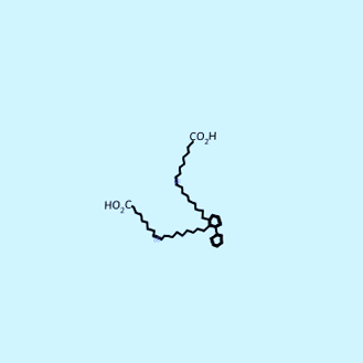 O=C(O)CCCCCCC/C=C\CCCCCCCCc1cccc(-c2ccccc2)c1CCCCCCCC/C=C\CCCCCCCC(=O)O